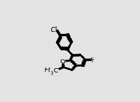 CC1Cc2cc(F)cc(-c3ccc(Cl)cc3)c2O1